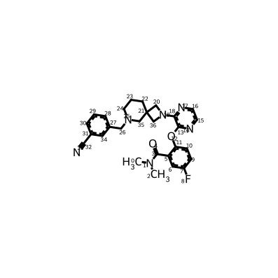 CN(C)C(=O)c1cc(F)ccc1Oc1nccnc1N1CC2(CCCN(Cc3cccc(C#N)c3)C2)C1